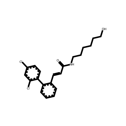 O=C(/C=C/c1[c]cccc1-c1ccc(Cl)cc1Cl)NCCCCCCO